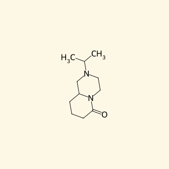 CC(C)N1CCN2C(=O)CCCC2C1